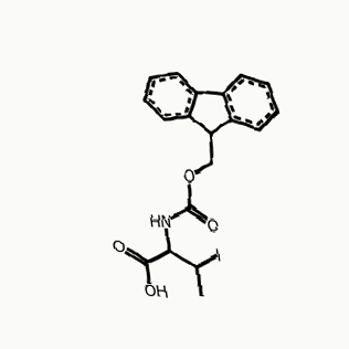 CC(I)C(NC(=O)OCC1c2ccccc2-c2ccccc21)C(=O)O